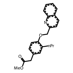 CCCc1cc(CC(=O)OC)ccc1OCc1ccc2ccccc2n1